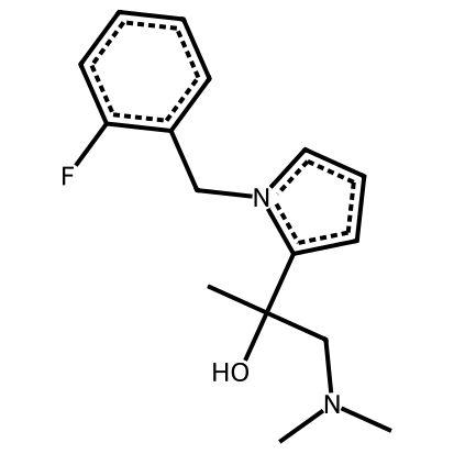 CN(C)CC(C)(O)c1cccn1Cc1ccccc1F